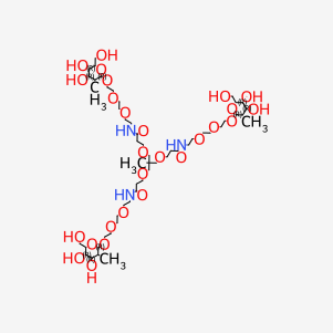 CC1[C@H](OCCOCCOCCNC(=O)CCOCC(C)(COCCC(=O)NCCOCCOCCO[C@@H]2OC(CO)[C@H](O)[C@H](O)C2C)COCCC(=O)NCCOCCOCCO[C@@H]2OC(CO)[C@H](O)[C@H](O)C2C)OC(CO)[C@H](O)[C@@H]1O